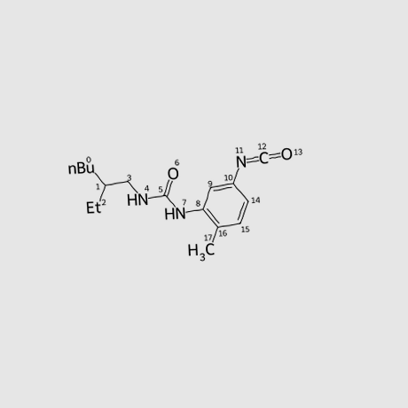 CCCCC(CC)CNC(=O)Nc1cc(N=C=O)ccc1C